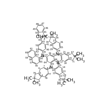 CC1(C)CC2=C(CC=C(N3c4cc5c(cc4B4c6cc7c(cc6N(c6ccc8c(c6)CC(C)(C)C8)c6cc(N(c8ccc(-c9cc%10ccccc%10o9)cc8)c8cccc9ccccc89)cc3c64)CC(C)(C)C7)CC(C)(C)C5)C=C2)C1